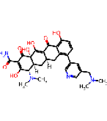 CN(C)Cc1cncc(-c2ccc(O)c3c2C[C@H]2C[C@H]4[C@H](N(C)C)C(O)=C(C(N)=O)C(=O)[C@@]4(O)C(O)=C2C3=O)c1